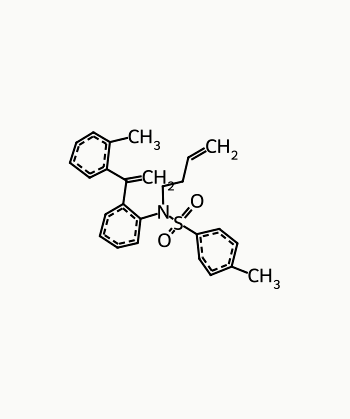 C=CCCN(c1ccccc1C(=C)c1ccccc1C)S(=O)(=O)c1ccc(C)cc1